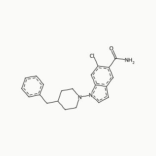 NC(=O)c1cc2ccn(N3CCC(Cc4ccccc4)CC3)c2cc1Cl